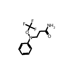 NC(=O)CCN(OC(F)(F)F)c1ccccc1